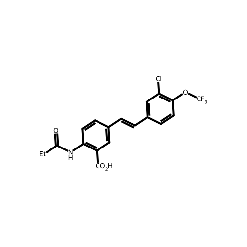 CCC(=O)Nc1ccc(C=Cc2ccc(OC(F)(F)F)c(Cl)c2)cc1C(=O)O